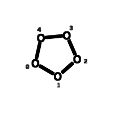 o1oooo1